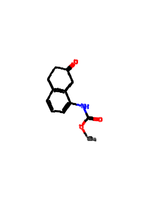 CC(C)(C)OC(=O)Nc1cccc2c1CC(=O)CC2